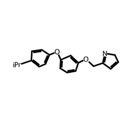 CC(C)c1ccc(Oc2cccc(OCC3=NCC=C3)c2)cc1